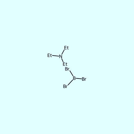 BrB(Br)Br.CCN(CC)CC